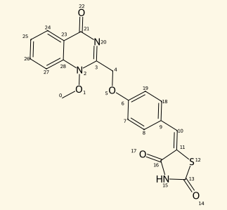 COn1c(COc2ccc(C=C3SC(=O)NC3=O)cc2)nc(=O)c2ccccc21